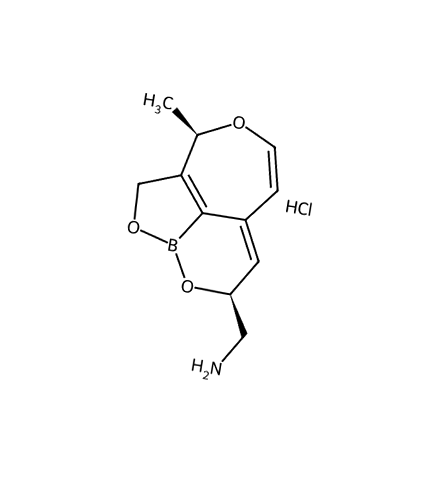 C[C@H]1OC=CC2=C[C@@H](CN)OB3OCC1=C32.Cl